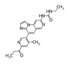 CCNC(=O)Nc1cc2c(cn1)cc(-c1cnc(C(=O)CC)cc1C)c1nccn12